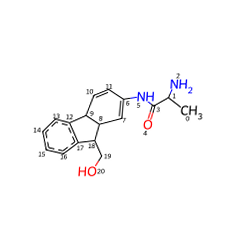 CC(N)C(=O)NC1=CC2C(C=C1)c1ccccc1C2CO